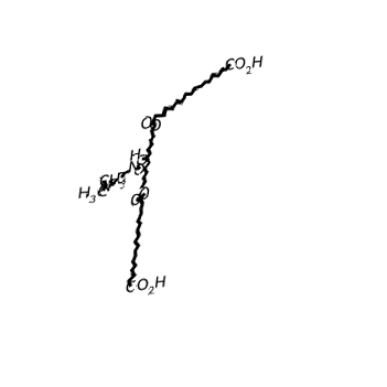 CN(C)CCOCCNC(=O)OC(CCCCCCOC(=O)CCCCCCCCCCCCCCCCC(=O)O)CCCCCCOC(=O)CCCCCCCCCCCCCCCCC(=O)O